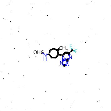 C=C1CC[C@H](NC=O)CCC1c1cc(C(F)F)nc2ncnn12